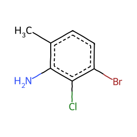 Cc1ccc(Br)c(Cl)c1N